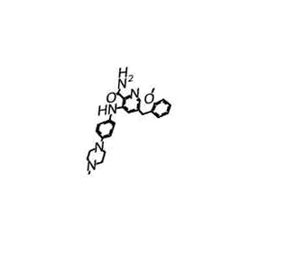 COc1ccccc1Cc1cnc(C(N)=O)c(Nc2ccc(N3CCN(C)CC3)cc2)c1